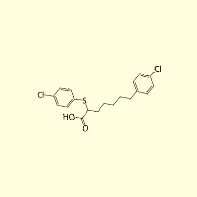 O=C(O)C(CCCCCc1ccc(Cl)cc1)Sc1ccc(Cl)cc1